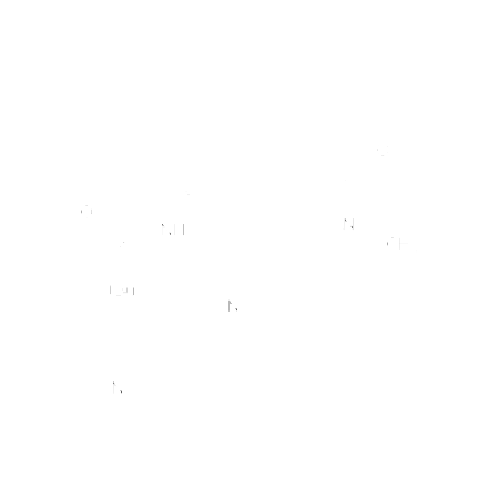 CN(C(=O)c1ccc2c(c1)[C@H](NC(=O)C(C)(C)C)CC2)C1CCN(c2ccncc2)CC1